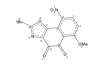 COc1ccc([N+](=O)[O-])c2c1C(=O)C(=O)c1nc(C(C)(C)C)oc1-2